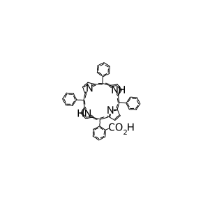 O=C(O)c1ccccc1-c1c2nc(c(-c3ccccc3)c3ccc([nH]3)c(-c3ccccc3)c3nc(c(-c4ccccc4)c4ccc1[nH]4)C=C3)C=C2